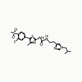 Cc1nc(NC(=O)NCCc2cn(CC(C)C)cn2)sc1-c1ccc(S(C)(=O)=O)c(F)c1